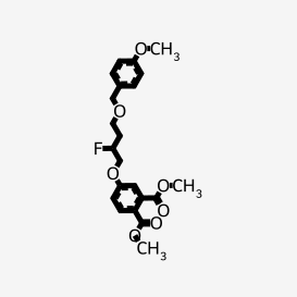 COC(=O)c1ccc(OCC(F)CCOCc2ccc(OC)cc2)cc1C(=O)OC